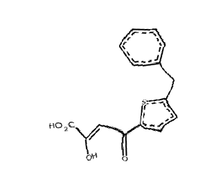 O=C(O)C(O)=CC(=O)c1ccc(Cc2ccccc2)s1